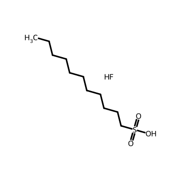 CCCCCCCCCCCS(=O)(=O)O.F